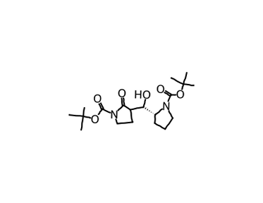 CC(C)(C)OC(=O)N1CCC(C(O)[C@H]2CCCN2C(=O)OC(C)(C)C)C1=O